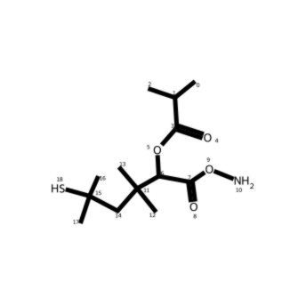 CC(C)C(=O)OC(C(=O)ON)C(C)(C)CC(C)(C)S